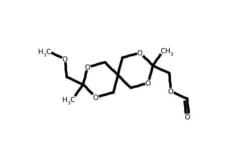 COCC1(C)OCC2(CO1)COC(C)(COC=O)OC2